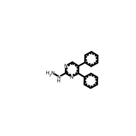 NNc1ncc(-c2ccccc2)c(-c2ccccc2)n1